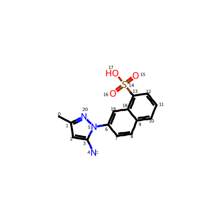 Cc1cc([N])n(-c2ccc3cccc(S(=O)(=O)O)c3c2)n1